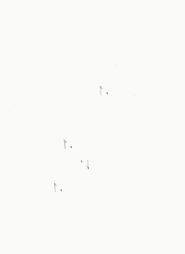 c1ccc(-c2nc3ccccc3nc2-n2c3ccc(-n4c5ccccc5c5c6ccccc6ccc54)cc3c3c4ccccc4ccc32)cc1